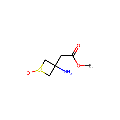 CCOC(=O)CC1(N)C[S+]([O-])C1